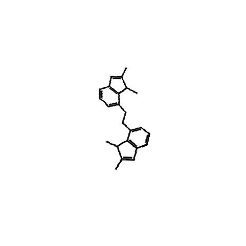 CC1=Cc2cccc(CCc3cccc4c3C(C)C(C)=C4)c2C1C